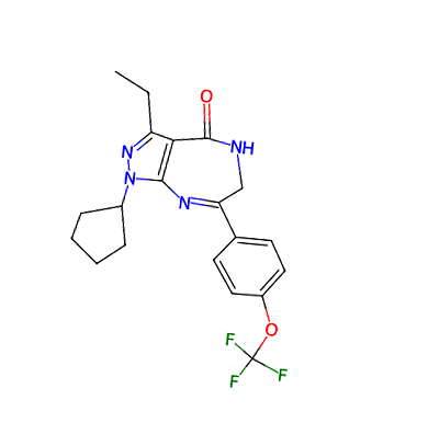 CCc1nn(C2CCCC2)c2c1C(=O)NCC(c1ccc(OC(F)(F)F)cc1)=N2